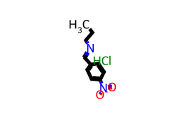 CCCN=Cc1ccc([N+](=O)[O-])cc1.Cl